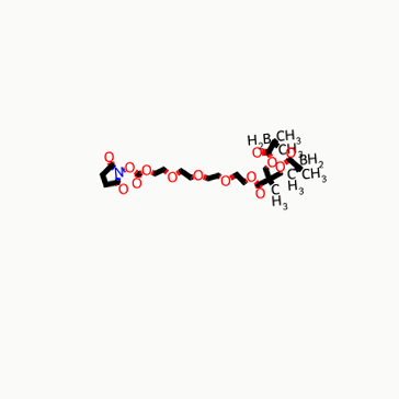 BC(C)(C)C(=O)OCC(C)(COC(=O)C(B)(C)C)C(=O)OCCOCCOCCOCCOC(=O)ON1C(=O)CCC1=O